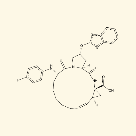 O=C1N[C@]2(C(=O)O)C[C@H]2/C=C\CCCCC[C@H](Nc2ccc(F)cc2)C(=O)N2C[C@H](Oc3nc4ccccc4s3)C[C@@H]12